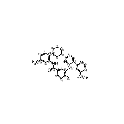 CNc1cc(-c2cncnc2Nc2cc(C(=O)Nc3cc(C(F)(F)F)ccc3N3CCOCC3)ccc2C)ncn1